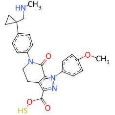 CNCC1(c2ccc(N3CCc4c(C(=O)OS)nn(-c5ccc(OC)cc5)c4C3=O)cc2)CC1